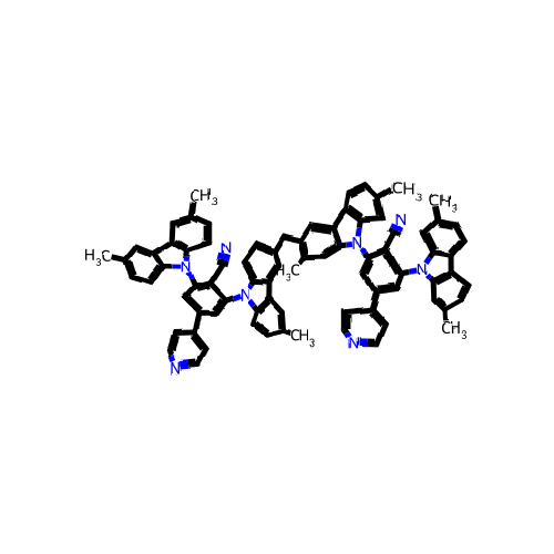 Cc1ccc2c(c1)c1cc(C)ccc1n2-c1cc(-c2ccncc2)cc(-n2c3ccc(C)cc3c3cc(Cc4cc5c6ccc(C)cc6n(-c6cc(-c7ccncc7)cc(-n7c8cc(C)ccc8c8ccc(C)cc87)c6C#N)c5cc4C)ccc32)c1C#N